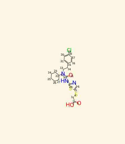 O=C(O)CSc1cnc(NC(=O)N(CCc2ccc(Cl)cc2)C2CCCCC2)s1